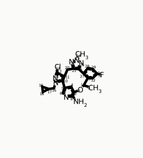 CC1Oc2cc(cnc2N)-c2c(c(Cl)nn2CC2CC2)Cc2nn(C)nc2-c2ccc(F)cc21